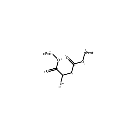 CCCCCOC(=O)CC(C(=O)OCCCCC)C(C)C